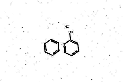 Cl.Oc1ccccn1.c1ccncc1